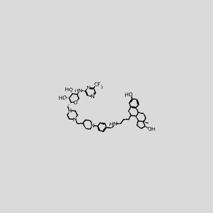 C[C@]12CCC3c4ccc(O)cc4CC(CCCNCc4ccc(N5CCC(CN6CCN(C[C@H]7OC[C@H](Nc8cncc(C(F)(F)F)n8)[C@@H](O)[C@H]7O)CC6)CC5)cc4)C3C1CC[C@@H]2O